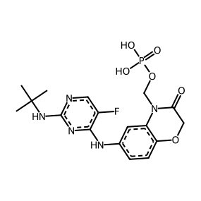 CC(C)(C)Nc1ncc(F)c(Nc2ccc3c(c2)N(COP(=O)(O)O)C(=O)CO3)n1